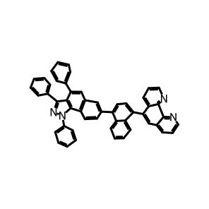 c1ccc(-c2cc3cc(-c4ccc(-c5cc6cccnc6c6ncccc56)c5ccccc45)ccc3c3c2c(-c2ccccc2)nn3-c2ccccc2)cc1